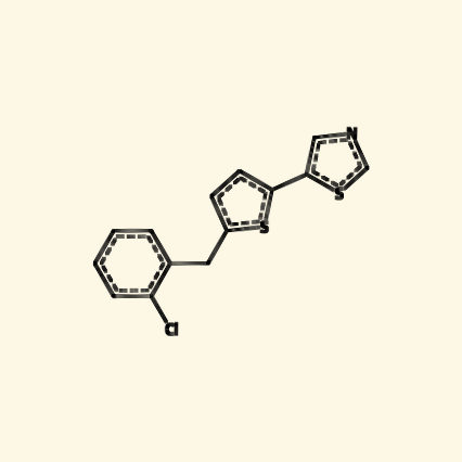 Clc1ccccc1Cc1ccc(-c2cncs2)s1